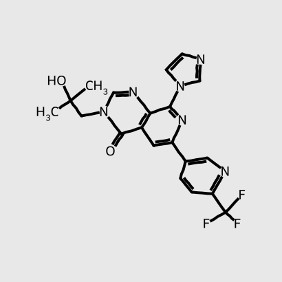 CC(C)(O)Cn1cnc2c(-n3ccnc3)nc(-c3ccc(C(F)(F)F)nc3)cc2c1=O